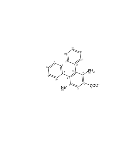 O=C([O-])c1ccc(-c2ccccc2)c(-c2ccccc2)c1P.[Na+]